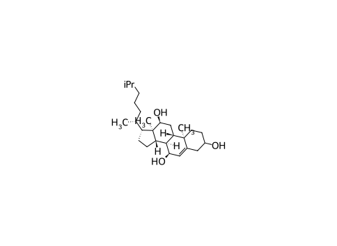 CC(C)CCC[C@@H](C)[C@H]1CC[C@H]2[C@@H]3[C@H](O)C=C4CC(O)CC[C@]4(C)[C@H]3C[C@H](O)[C@]12C